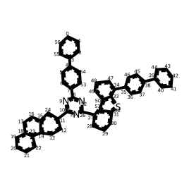 c1ccc(-c2ccc(-c3nc(-c4ccc5c(ccc6ccccc65)c4)nc(-c4cccc5sc6c(-c7ccc(-c8ccccc8)cc7)cccc6c45)n3)cc2)cc1